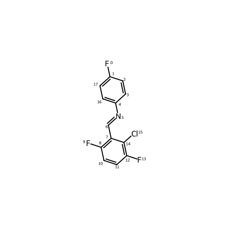 Fc1ccc(/N=C/c2c(F)ccc(F)c2Cl)cc1